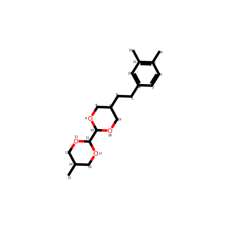 Cc1ccc(CCC2COC(C3OCC(C)CO3)OC2)cc1C